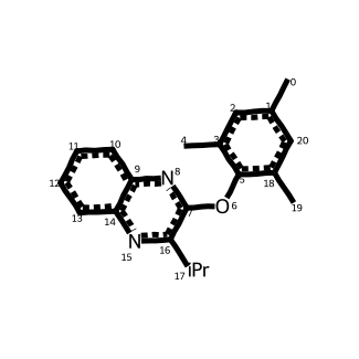 Cc1cc(C)c(Oc2nc3ccccc3nc2C(C)C)c(C)c1